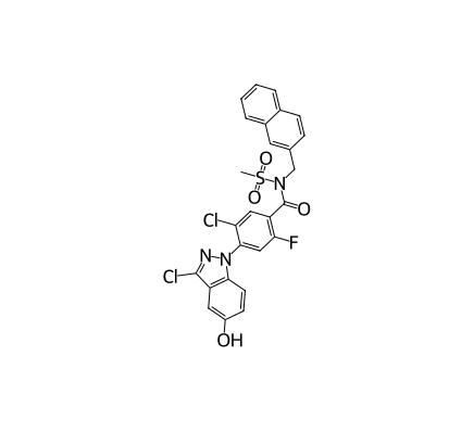 CS(=O)(=O)N(Cc1ccc2ccccc2c1)C(=O)c1cc(Cl)c(-n2nc(Cl)c3cc(O)ccc32)cc1F